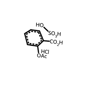 CC(=O)Oc1ccccc1C(=O)O.Cl.O=S(=O)(O)O